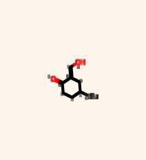 CC(C)(C)C1CCC(=O)/C(=C/O)C1